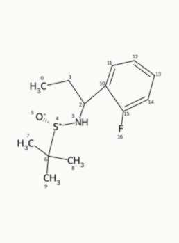 CCC(N[S@@+]([O-])C(C)(C)C)c1ccccc1F